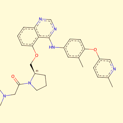 Cc1ccc(Oc2ccc(Nc3ncnc4cccc(OC[C@H]5CCCN5C(=O)CN(C)C)c34)cc2C)cn1